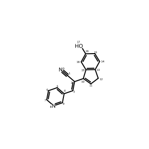 N#C/C(=C\c1cccnc1)C1=CCc2ccc(O)cc21